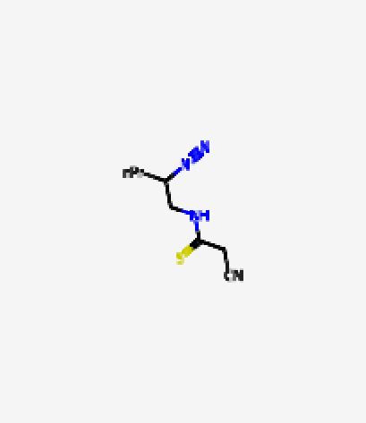 CCCC(CNC(=S)CC#N)[N+]#N